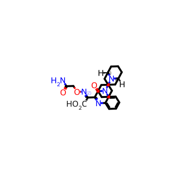 NC(=O)CO/N=C(\C(=O)O)c1nc2ccccc2n(C2C[C@H]3CCC[C@@H](C2)N3C2CCCCC2)c1=O